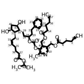 C#CCCCC(=O)OCc1cnc(C)c(OC(=O)OC(CCc2ccccc2)CC[C@@H]2[C@@H](C/C=C\CCCC(=O)OC(C)C)[C@@H](O)C[C@H]2O)c1COC(=O)CCCC#C